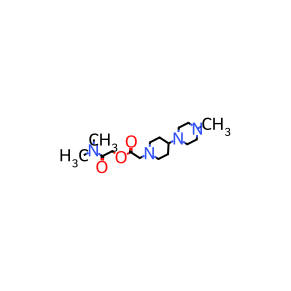 CN1CCN(C2CCN(CC(=O)OCC(=O)N(C)C)CC2)CC1